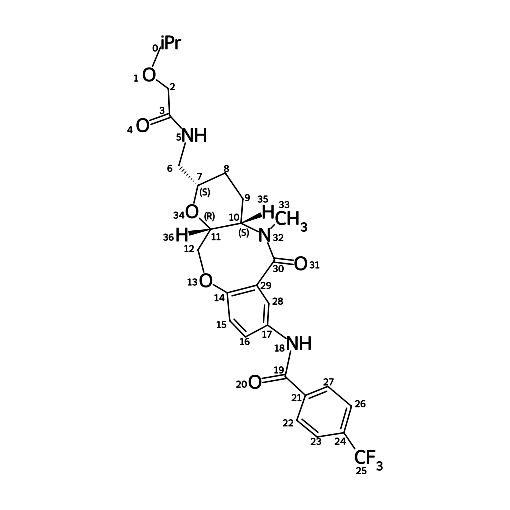 CC(C)OCC(=O)NC[C@@H]1CC[C@H]2[C@H](COc3ccc(NC(=O)c4ccc(C(F)(F)F)cc4)cc3C(=O)N2C)O1